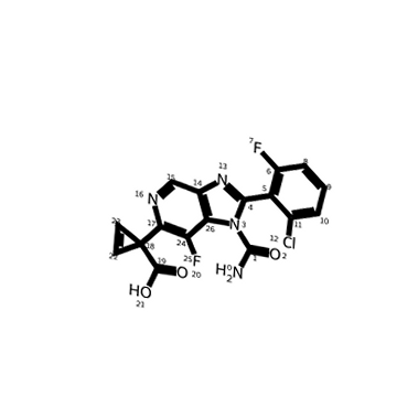 NC(=O)n1c(-c2c(F)cccc2Cl)nc2[c]nc(C3(C(=O)O)C=C3)c(F)c21